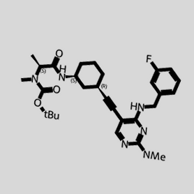 CNc1ncc(C#C[C@@H]2CCC[C@H](NC(=O)[C@H](C)N(C)C(=O)OC(C)(C)C)C2)c(NCc2cccc(F)c2)n1